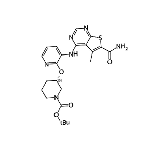 Cc1c(C(N)=O)sc2ncnc(Nc3cccnc3O[C@H]3CCCN(C(=O)OC(C)(C)C)C3)c12